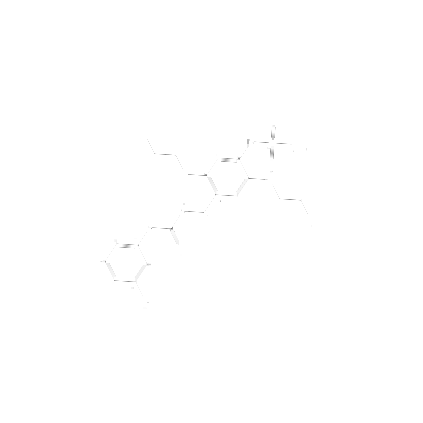 CCCOc1cc(NS(C)(=O)=O)c(OCCC)cc1CNC(=O)Nc1cccc(Br)c1